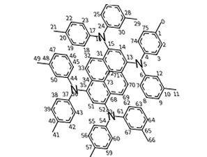 Cc1ccc(N(c2cccc(C)c2)c2cc(N(c3ccc(C)cc3)c3cccc(C)c3)c3ccc4c(N(c5ccc(C)cc5)c5cccc(C)c5)cc(N(c5ccc(C)cc5)c5cccc(C)c5)c5ccc2c3c54)cc1